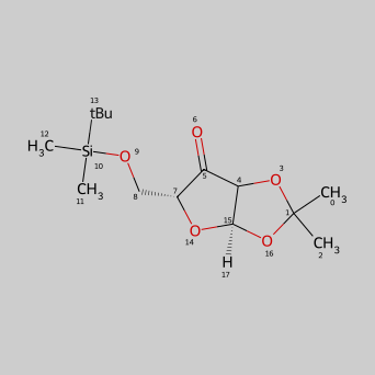 CC1(C)OC2C(=O)[C@@H](CO[Si](C)(C)C(C)(C)C)O[C@@H]2O1